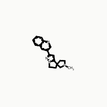 CN1CCC2(CCn3nc(-c4cnc5ccccc5c4)cc32)C1